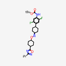 CC(C)c1noc(C2CCC(ON=C3CCC(c4cc(F)c(NC(=O)OC(C)(C)C)cc4F)CC3)CC2)n1